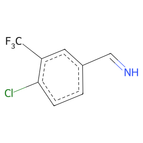 N=Cc1ccc(Cl)c(C(F)(F)F)c1